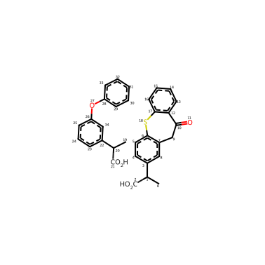 CC(C(=O)O)c1ccc2c(c1)CC(=O)c1ccccc1S2.CC(C(=O)O)c1cccc(Oc2ccccc2)c1